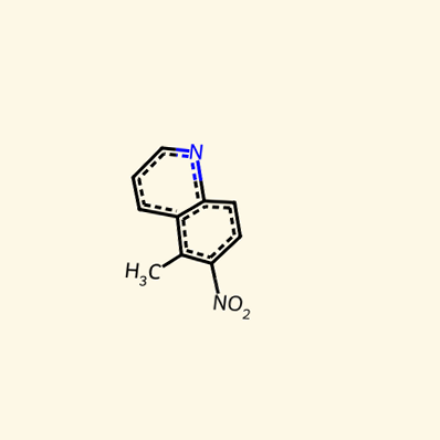 Cc1c([N+](=O)[O-])ccc2ncccc12